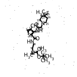 Cc1csc(C(=O)NCCN(C)C(=O)OC(C)(C)C)c1NC(=O)CN1CCC(C)(F)CC1